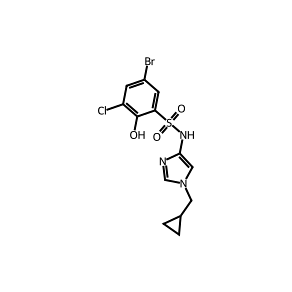 O=S(=O)(Nc1cn(CC2CC2)cn1)c1cc(Br)cc(Cl)c1O